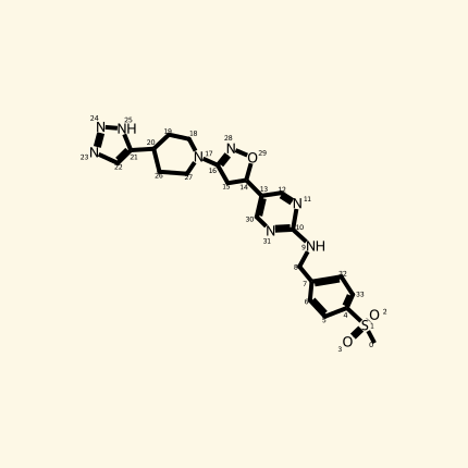 CS(=O)(=O)c1ccc(CNc2ncc(C3CC(N4CCC(c5cnn[nH]5)CC4)=NO3)cn2)cc1